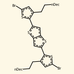 CCCCCCCCCCCCc1cc(Br)sc1-c1cc2sc(-c3sc(Br)cc3CCCCCCCCCCCC)cc2s1